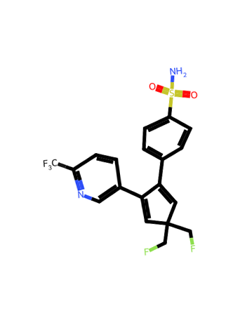 NS(=O)(=O)c1ccc(C2=CC(CF)(CF)C=C2c2ccc(C(F)(F)F)nc2)cc1